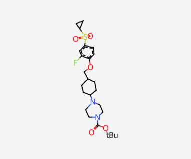 CC(C)(C)OC(=O)N1CCN(C2CCC(COc3ccc(S(=O)(=O)C4CC4)cc3F)CC2)CC1